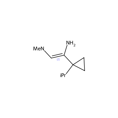 CN/C=C(\N)C1(C(C)C)CC1